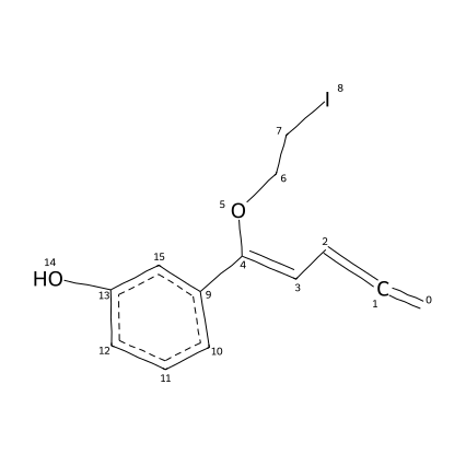 C=C=CC=C(OCCI)c1cccc(O)c1